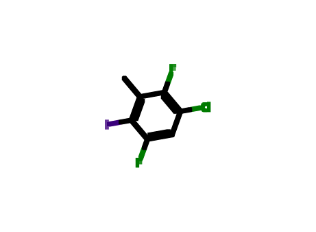 Cc1c(F)c(Cl)cc(F)c1I